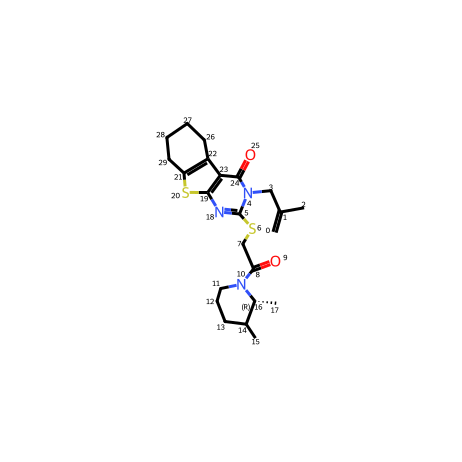 C=C(C)Cn1c(SCC(=O)N2CCCC(C)[C@H]2C)nc2sc3c(c2c1=O)CCCC3